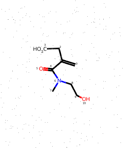 C=C(CC(=O)O)C(=O)N(C)CCO